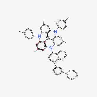 Cc1ccc(N2c3cc(C)cc4c3[Si]3(c5ccccc5)c5c2cc(C)cc5N(c2ccc(-c5cccc(-c6ccccc6)c5)c5ccccc25)c2cc(C)cc(c23)N4c2ccc(C)cc2)cc1